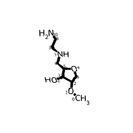 COC1COC(CNCCN)C1O